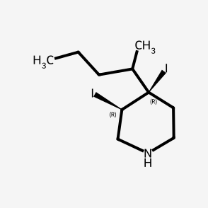 CCCC(C)[C@]1(I)CCNC[C@H]1I